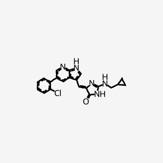 O=C1NC(NCC2CC2)=N/C1=C\c1c[nH]c2ncc(-c3ccccc3Cl)cc12